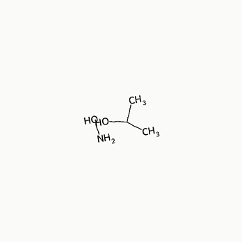 CC(C)O.NO